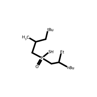 CCCCC(CC)CP(=O)(S)CC(C)CC(C)(C)C